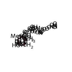 C=C1C[C@@H]2CC[C@]34C[C@@H](O)[C@H](O3)[C@H]3C[C@@H](O4)[C@H]4O[C@H](CC[C@@H]4O3)CC(=O)C[C@@H]3[C@@H](OC)[C@@H](C[C@H](O)CNC(=O)OCc4ccc(N(CCOCCOCCOCCn5cc(COCCOCCOCCOCCNC(=O)CCN6C(=O)C=CC6=O)nn5)C(=O)OCC(C)(C)SSC)cc4)O[C@H]3C[C@H]3O[C@@H](CC[C@@H]1O2)C[C@@H](C)C3=C